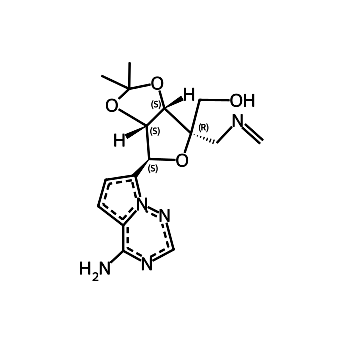 C=NC[C@]1(CO)O[C@@H](c2ccc3c(N)ncnn23)[C@@H]2OC(C)(C)O[C@@H]21